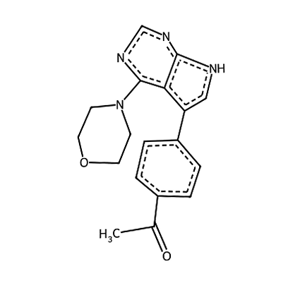 CC(=O)c1ccc(-c2c[nH]c3ncnc(N4CCOCC4)c23)cc1